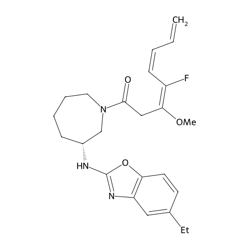 C=C/C=C\C(F)=C(/CC(=O)N1CCCC[C@@H](Nc2nc3cc(CC)ccc3o2)C1)OC